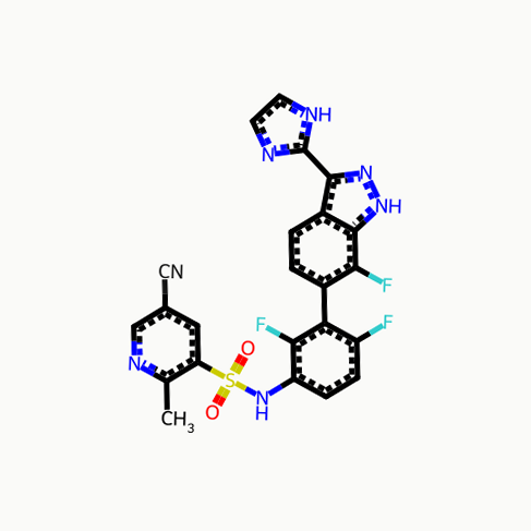 Cc1ncc(C#N)cc1S(=O)(=O)Nc1ccc(F)c(-c2ccc3c(-c4ncc[nH]4)n[nH]c3c2F)c1F